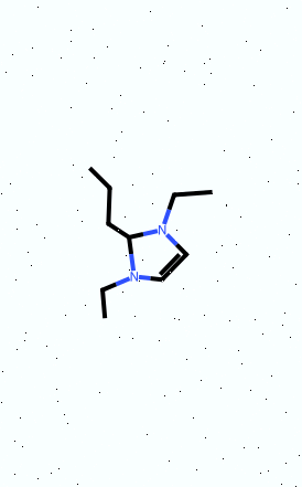 CCCC1N(CC)C=CN1CC